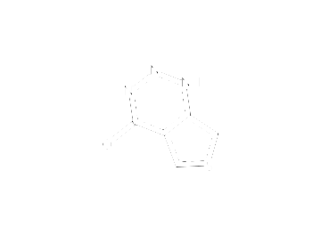 O=c1nn[nH]c2cscc12